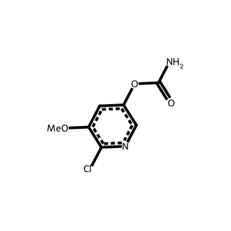 COc1cc(OC(N)=O)cnc1Cl